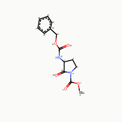 CC(C)(C)OC(=O)N1CCC(NC(=O)OCc2ccccc2)C1=O